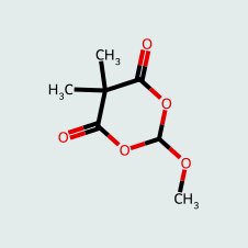 COC1OC(=O)C(C)(C)C(=O)O1